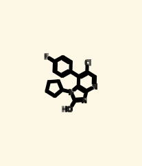 Oc1nc2ncc(Cl)c(-c3ccc(F)cc3)c2n1C1CCCC1